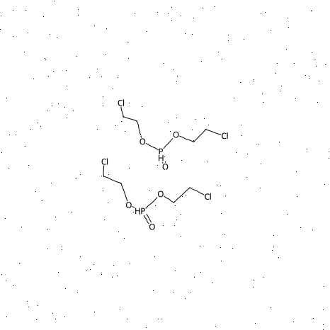 O=[PH](OCCCl)OCCCl.O=[PH](OCCCl)OCCCl